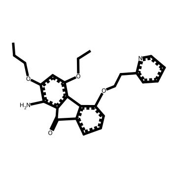 CCCOc1cc(OCC)c2c(c1N)C(=O)c1cccc(OCCc3ccccn3)c1-2